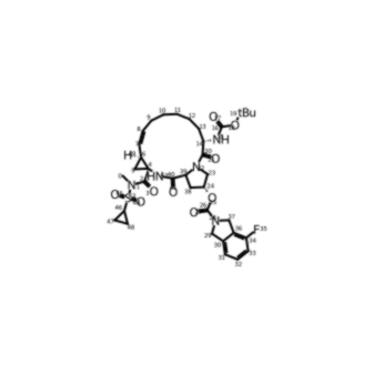 CN(C(=O)[C@@]12C[C@H]1/C=C\CCCCC[C@H](NC(=O)OC(C)(C)C)C(=O)N1C[C@H](OC(=O)N3Cc4cccc(F)c4C3)CC1C(=O)N2)S(=O)(=O)C1CC1